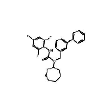 O=C(Nc1c(F)cc(F)cc1F)N(Cc1cccc(-c2ccccc2)c1)C1CCCCCC1